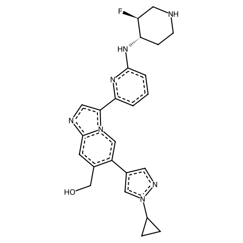 OCc1cc2ncc(-c3cccc(N[C@H]4CCNC[C@@H]4F)n3)n2cc1-c1cnn(C2CC2)c1